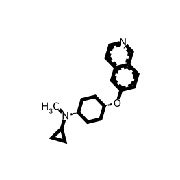 CN(C1CC1)[C@H]1CC[C@@H](Oc2ccc3cnccc3c2)CC1